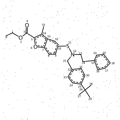 CCOC(=O)c1oc2ccc(SN(CCc3ccccc3)Cc3ccc(C(C)(C)C)cc3)cc2c1C